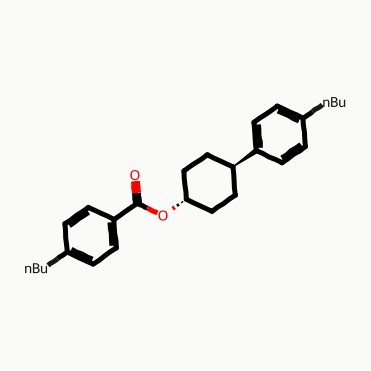 CCCCc1ccc(C(=O)O[C@H]2CC[C@H](c3ccc(CCCC)cc3)CC2)cc1